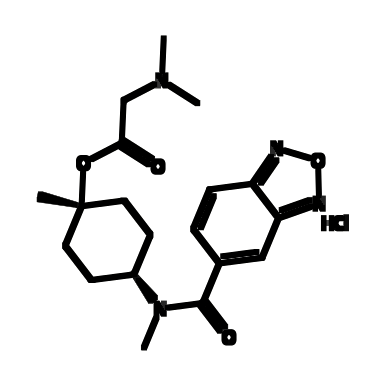 CN(C)CC(=O)O[C@]1(C)CC[C@@H](N(C)C(=O)c2ccc3nonc3c2)CC1.Cl